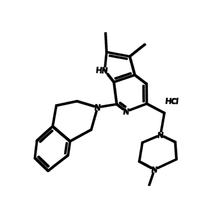 Cc1[nH]c2c(N3CCc4ccccc4C3)nc(CN3CCN(C)CC3)cc2c1C.Cl